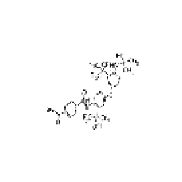 CCC(C)(C)Nc1ccc(Oc2ccc(NC(=O)c3ccc(C(=O)C(C)C)cc3)c(C(O)(C(F)(F)F)C(F)(F)F)c2)cc1C(O)(C(F)(F)F)C(F)(F)F